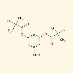 CC(C)(Br)C(=O)Oc1cc(C=O)cc(OC(=O)C(C)(C)Br)c1